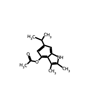 CC(=O)Oc1cc(C(C)C)cc2[nH]c(C)c(C)c12